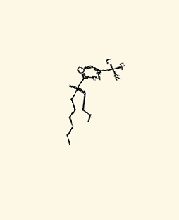 CCCCCCC(C)(CCCC)c1nc(C(F)(F)F)co1